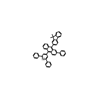 CC1(C)c2ccccc2-c2ccc(-c3c4ccccc4c(-c4cc(-c5ccccc5)nc(-c5ccccc5)c4)c4ccc(-c5ccccc5)cc34)cc21